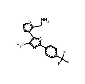 Cc1nc(-c2ccc(C(F)(F)F)cc2)sc1-c1ccoc1CN